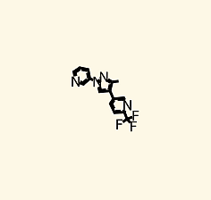 Cc1nn(-c2cccnc2)cc1-c1ccc(C(F)(F)F)nc1